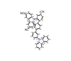 N#Cc1ccc(-c2ccc(-c3cccc(-n4c5ccccc5c5ccccc54)c3)cc2)c(-n2c3ccc(C#N)cc3c3cc(C#N)ccc32)c1